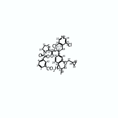 O=C(O)c1cccc(S(=O)(=O)N2CCS[C@H]2C(=O)O[C@@H](Cc2c(Cl)cncc2Cl)c2ccc(OC(F)F)c(OCC3CC3)c2)c1